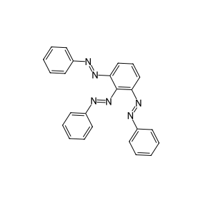 c1ccc(N=Nc2cccc(N=Nc3ccccc3)c2N=Nc2ccccc2)cc1